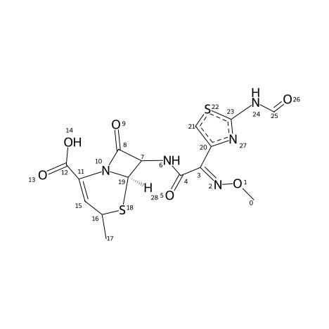 CO/N=C(/C(=O)NC1C(=O)N2C(C(=O)O)=CC(C)S[C@H]12)c1csc(NC=O)n1